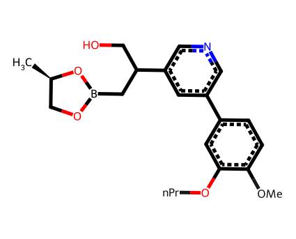 CCCOc1cc(-c2cncc(C(CO)CB3OC[C@@H](C)O3)c2)ccc1OC